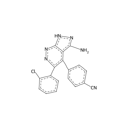 N#Cc1ccc(-c2c(-c3ccccc3Cl)nnc3[nH]nc(N)c23)cc1